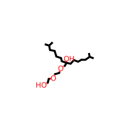 CC(C)CCCCCC(O)(CCCCCC(C)C)COCCOCCO